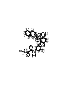 CCOC(=O)C(=O)Nc1cc(Cl)c(Oc2ccc(O)c(S(=O)(=O)N3CCc4ccccc4C3)c2)c(Cl)c1